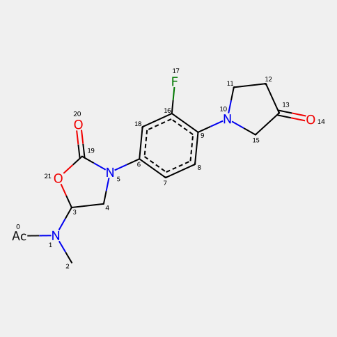 CC(=O)N(C)C1CN(c2ccc(N3CCC(=O)C3)c(F)c2)C(=O)O1